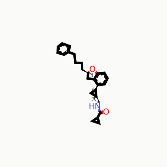 O=C(NC[C@@H]1C[C@H]1c1cccc2c1C[C@@H](CCCCc1ccccc1)O2)C1CC1